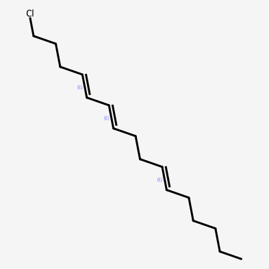 CCCCC/C=C/CC/C=C/C=C/CCCCl